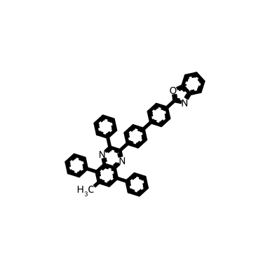 Cc1cc(-c2ccccc2)c2nc(-c3ccc(-c4ccc(-c5nc6ccccc6o5)cc4)cc3)c(-c3ccccc3)nc2c1-c1ccccc1